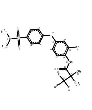 CN(C)S(=O)(=O)c1ccc(Sc2ccc(NC(=O)C(C)(O)C(F)(F)F)c(Cl)c2)cc1